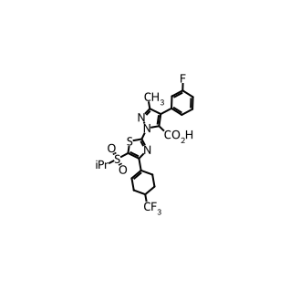 Cc1nn(-c2nc(C3=CCC(C(F)(F)F)CC3)c(S(=O)(=O)C(C)C)s2)c(C(=O)O)c1-c1cccc(F)c1